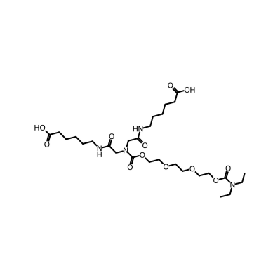 CCN(CC)C(=O)OCCOCCOCCOC(=O)N(CC(=O)NCCCCCC(=O)O)CC(=O)NCCCCCC(=O)O